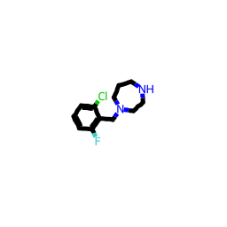 Fc1cccc(Cl)c1CN1CCCNCC1